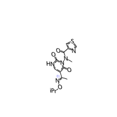 C/C(=N\OC(C)C)c1c[nH]c(=O)n(N(C)C(=O)c2cscn2)c1=O